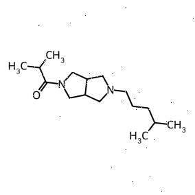 CC(C)CCCN1CC2CN(C(=O)C(C)C)CC2C1